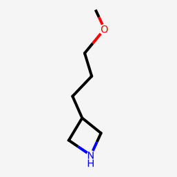 COCCCC1CNC1